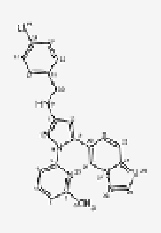 Cc1cccc(-n2nc(NCc3ccc(Cl)cc3)cc2-c2ccc3ncnn3c2)n1